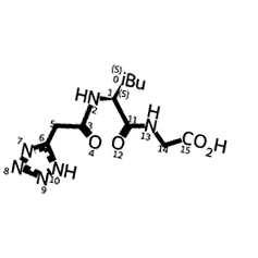 CC[C@H](C)[C@H](NC(=O)Cc1nnn[nH]1)C(=O)NCC(=O)O